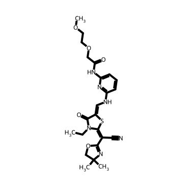 CCn1c(=C(C#N)C2=NC(C)(C)CO2)sc(=CNc2cccc(NC(=O)COCCOC)n2)c1=O